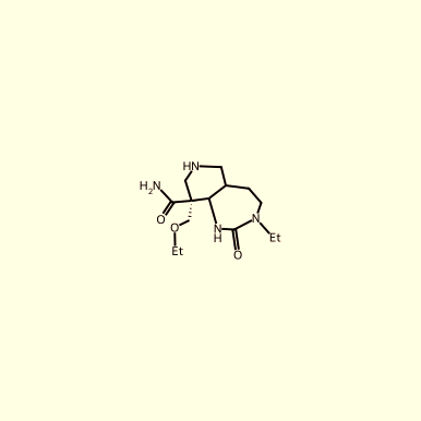 CCOC[C@]1(C(N)=O)CNCC2CCN(CC)C(=O)NC21